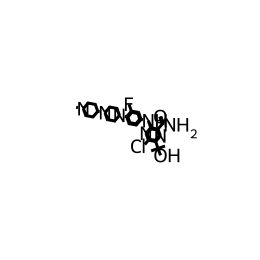 CN1CCC(N2CCN(c3ccc(Nc4nc(Cl)c(C(C)(C)O)nc4C(N)=O)cc3F)CC2)CC1